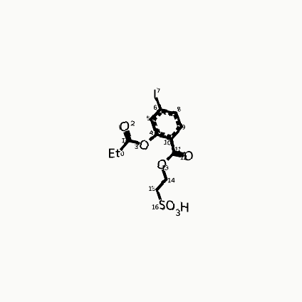 CCC(=O)Oc1cc(I)ccc1C(=O)OCCS(=O)(=O)O